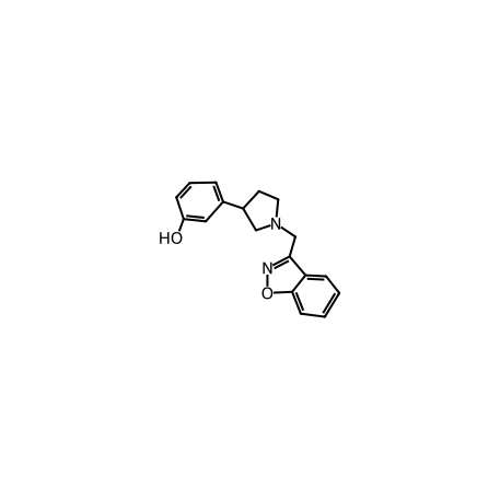 Oc1cccc(C2CCN(Cc3noc4ccccc34)C2)c1